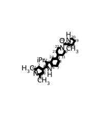 Cc1cc(-c2[nH]c3ccc(C4CCN(C(=O)C5(C)CCCN5)CC4)cc3c2C(C)C)cc(C)n1